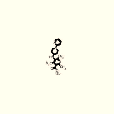 Cc1nc(C)c(C(=O)OC(C)(C)C)c(C)c1NC1CCN(c2ccccn2)CC1